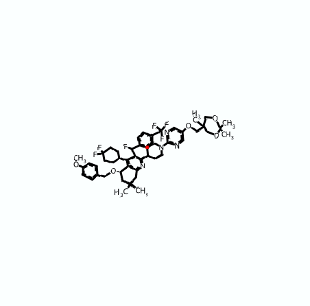 COc1ccc(CO[C@H]2CC(C)(C)Cc3nc(C4CCN(c5ncc(OCC6(C)COC(C)(C)OC6)cn5)CC4)c(C(F)c4ccc(C(F)(F)F)cc4)c(C4CCC(F)(F)CC4)c32)cc1